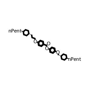 CCCCC[C@H]1CC[C@H](CCCOc2ccc(C(=O)Oc3ccc(OC[C@H]4CC[C@H](CCCCC)CC4)cc3)cc2)CC1